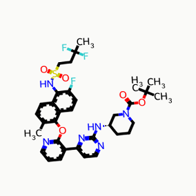 Cc1ccc2c(NS(=O)(=O)CCC(C)(F)F)c(F)ccc2c1Oc1ncccc1-c1ccnc(N[C@H]2CCCN(C(=O)OC(C)(C)C)C2)n1